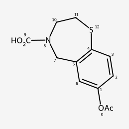 CC(=O)Oc1ccc2c(c1)CN(C(=O)O)CCS2